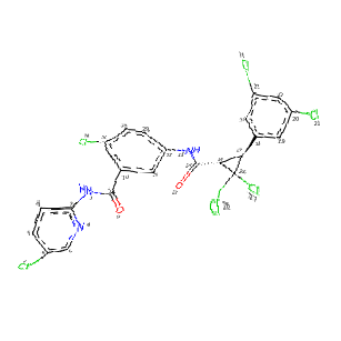 O=C(Nc1ccc(Cl)cn1)c1cc(NC(=O)[C@@H]2[C@@H](c3cc(Cl)cc(Cl)c3)C2(Cl)Cl)ccc1Cl